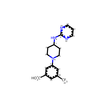 O=C(O)c1cc(N2CCC(Nc3ncccn3)CC2)cc(C(F)(F)F)c1